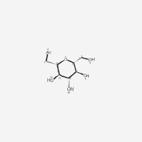 CC(=O)C[C@@H]1O[C@H](CO)[C@@H](O)[C@H](O)[C@H]1O